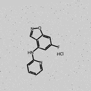 Cl.Fc1cc(Nc2ccccn2)c2cnoc2c1